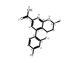 C[C@H]1CCc2c(-c3ccc(F)cc3F)cc(C(=O)O)nc2O1